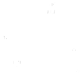 COc1ccc(C(CN)Cc2ccncc2)cc1OC1CCCC1.Cl.Cl